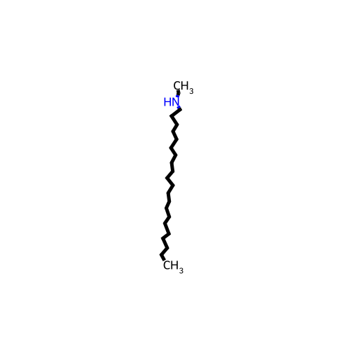 CCCCCCCCCCCCCCCCCCCCCNCC